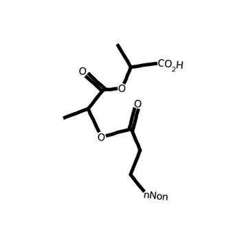 CCCCCCCCCCCC(=O)OC(C)C(=O)OC(C)C(=O)O